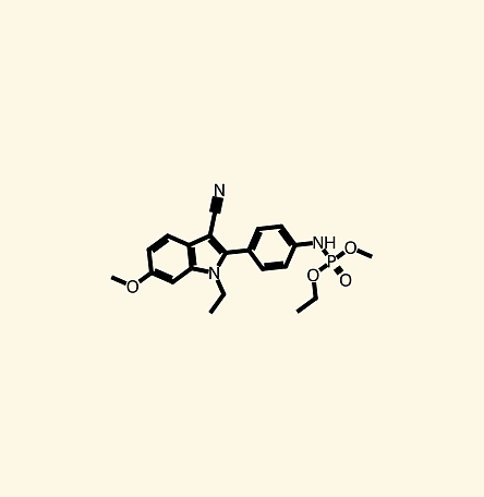 CCOP(=O)(Nc1ccc(-c2c(C#N)c3ccc(OC)cc3n2CC)cc1)OC